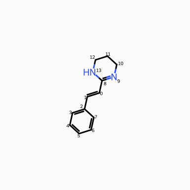 C(=Cc1ccccc1)C1=NCCCN1